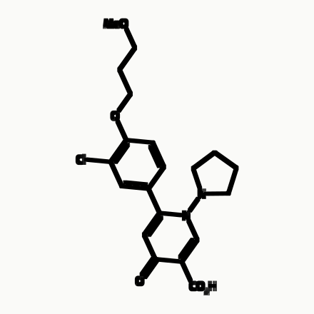 COCCCOc1ccc(-c2cc(=O)c(C(=O)O)cn2N2CCCC2)cc1Cl